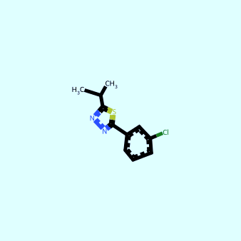 CC(C)c1nnc(-c2cccc(Cl)c2)s1